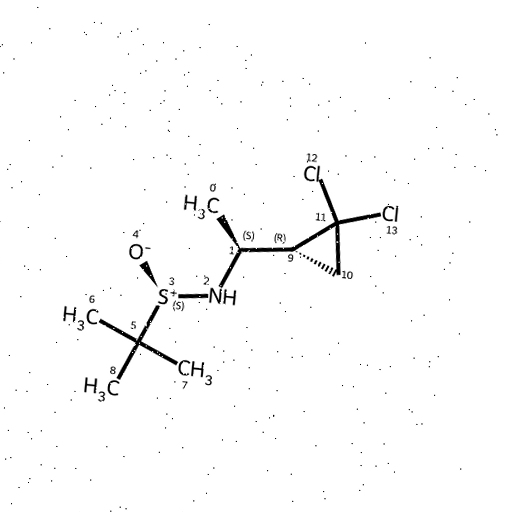 C[C@H](N[S@+]([O-])C(C)(C)C)[C@H]1CC1(Cl)Cl